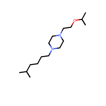 CC(C)CCCCN1CCN(CCOC(C)C)CC1